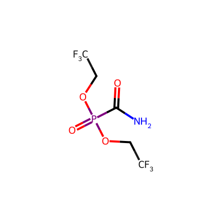 NC(=O)P(=O)(OCC(F)(F)F)OCC(F)(F)F